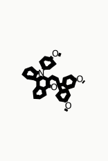 COc1ccc(-n2c3ccccc3c3c4ccccc4c4c(c32)C=CC(c2ccc(OC)cc2)(c2ccc(OC)cc2)O4)cc1